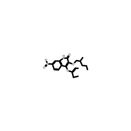 CC=C(CC)Oc1c(OCC(C)CCC)c(=O)[nH]c2cc([N+](=O)[O-])ccc12